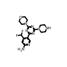 Nc1cc(C(F)F)c(-c2nc(N3CCNCC3)nc(N3CCOCC3)n2)cn1